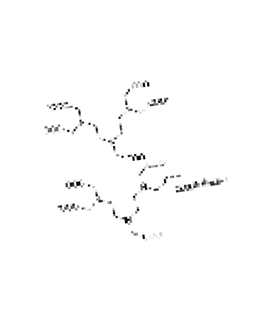 O=C([O-])CN(CCN(CC(=O)[O-])CC(=O)[O-])CCN(CC(=O)[O-])CC(=O)[O-].O=C([O-])CN(CCN(CC(=O)[O-])CC(=O)[O-])CCN(CC(=O)[O-])CC(=O)[O-].[Cu+2].[Cu+2].[Cu+2].[Cu+2].[Cu+2]